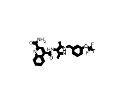 Cc1nn(Cc2cccc(OC(F)(F)F)c2)c(C)c1NC(=O)c1cc(C(N)=O)nc2ccccc12